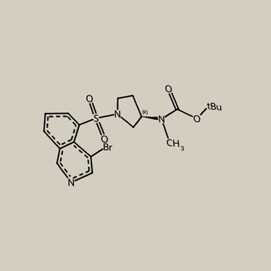 CN(C(=O)OC(C)(C)C)[C@@H]1CCN(S(=O)(=O)c2cccc3cncc(Br)c23)C1